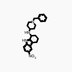 O=[N+]([O-])c1ccc2[nH]c3c(c2c1)CCCC3NC1CCN(Cc2ccccc2)CC1